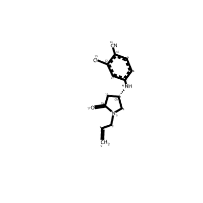 C=CCN1C[C@@H](Nc2ccc(C#N)c(Cl)c2)CC1=O